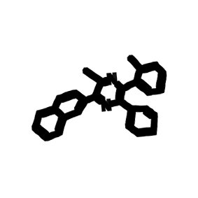 Cc1ccccc1-c1nc(C)c(-c2ccc3ccccc3c2)nc1-c1ccccc1